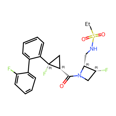 CCS(=O)(=O)NC[C@@H]1[C@H](F)CN1C(=O)[C@H]1C[C@]1(F)c1ccccc1-c1ccccc1F